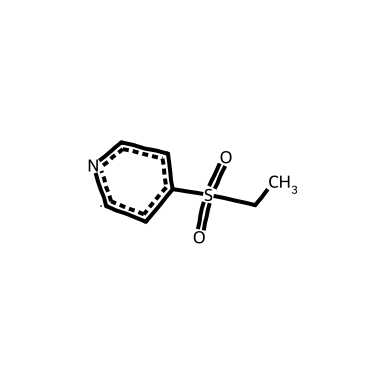 CCS(=O)(=O)c1c[c]ncc1